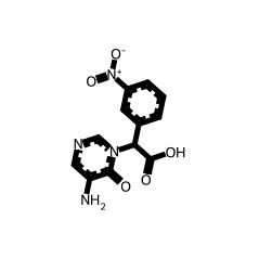 Nc1cncn(C(C(=O)O)c2cccc([N+](=O)[O-])c2)c1=O